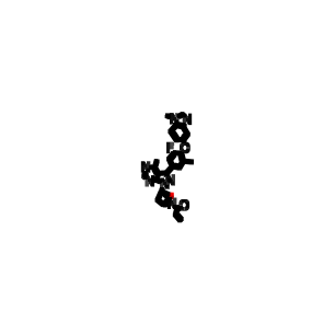 C=CC(=O)N1CC2(n3nc(-c4cc(C)c(Oc5ccc6c(c5)ncn6C)c(F)c4)c4c(C)ncnc43)CC1C2